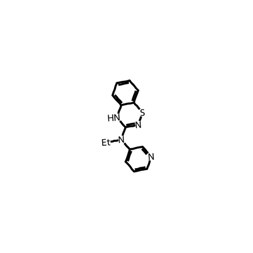 CCN(C1=NSc2ccccc2N1)c1cccnc1